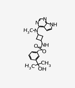 CN(c1ncnc2[nH]ccc12)C1CC(NS(=O)(=O)c2cccc(C(C)(C)O)c2)C1